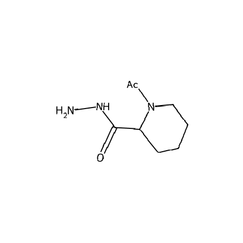 CC(=O)N1CCCCC1C(=O)NN